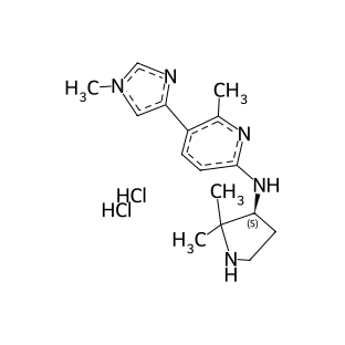 Cc1nc(N[C@H]2CCNC2(C)C)ccc1-c1cn(C)cn1.Cl.Cl